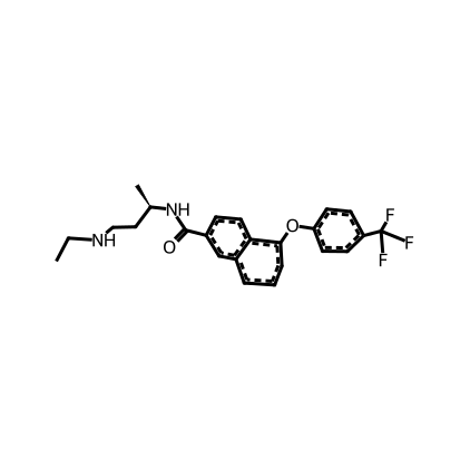 CCNCC[C@@H](C)NC(=O)c1ccc2c(Oc3ccc(C(F)(F)F)cc3)cccc2c1